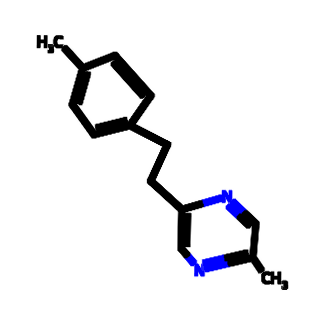 Cc1ccc(CCc2cnc(C)cn2)cc1